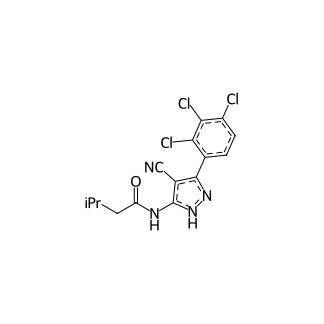 CC(C)CC(=O)Nc1[nH]nc(-c2ccc(Cl)c(Cl)c2Cl)c1C#N